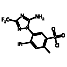 Cc1cc(C(C)C)c(-n2nc(C(F)(F)F)nc2N)cc1S(=O)(=O)Cl